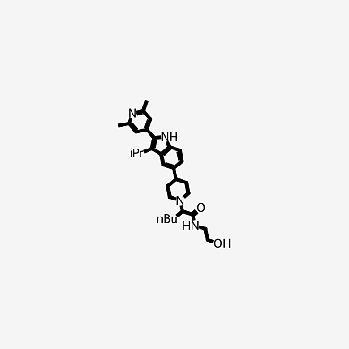 CCCCC(C(=O)NCCO)N1CCC(c2ccc3[nH]c(-c4cc(C)nc(C)c4)c(C(C)C)c3c2)CC1